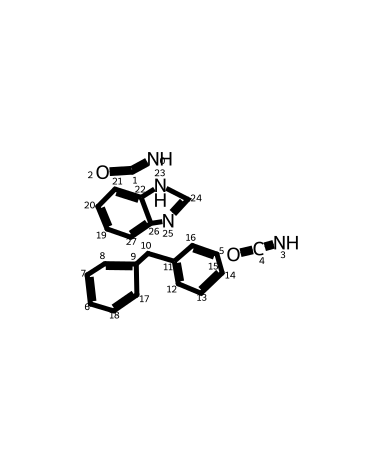 N=C=O.N=C=O.c1ccc(Cc2ccccc2)cc1.c1ccc2[nH]cnc2c1